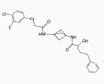 O=C(COc1ccc(Cl)c(F)c1)NC12CC(NC(=O)C(O)CCc3ccccc3)(C1)C2